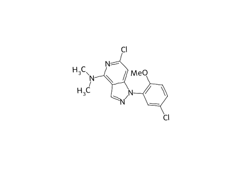 COc1ccc(Cl)cc1-n1ncc2c(N(C)C)nc(Cl)cc21